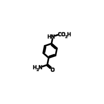 NC(=O)c1ccc(NC(=O)O)cc1